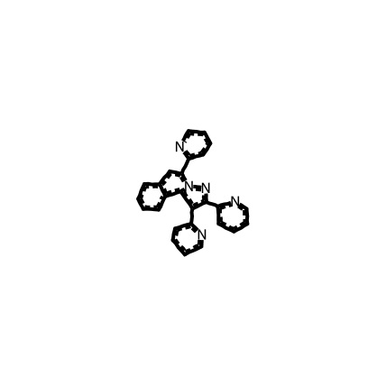 c1ccc(-c2nn3c(-c4ccccn4)cc4ccccc4c3c2-c2ccccn2)nc1